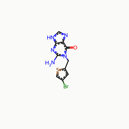 Nc1nc2[nH]cnc2c(=O)n1Cc1cc(Br)cs1